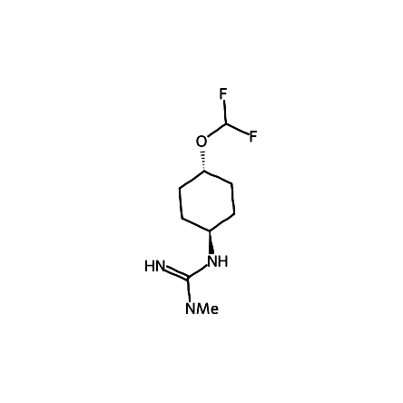 CNC(=N)N[C@H]1CC[C@H](OC(F)F)CC1